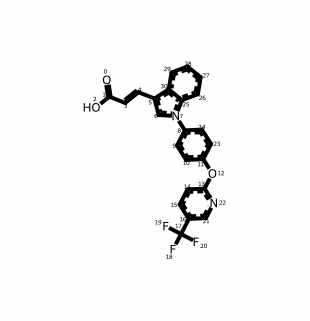 O=C(O)C=Cc1cn(-c2ccc(Oc3ccc(C(F)(F)F)cn3)cc2)c2ccccc12